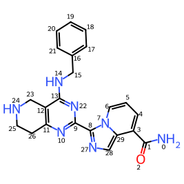 NC(=O)c1cccn2c(-c3nc4c(c(NCc5ccccc5)n3)CNCC4)ncc12